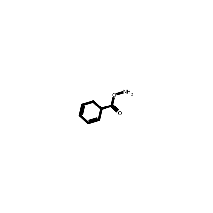 NOC(=O)C1C=CC=CC1